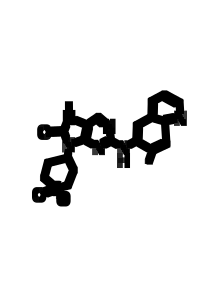 Cc1cc2ncccc2cc1Nc1ncc2c(n1)n(C1CCS(=O)(=O)CC1)c(=O)n2C